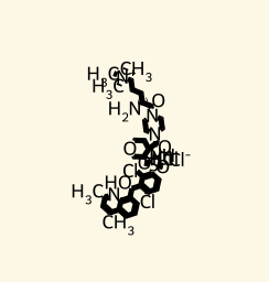 Cc1cc(C)c2cccc(C(O)c3c(Cl)ccc(S(=O)(=O)NC4(C(=O)N5CCN(C(=O)[C@@H](N)CCC[N+](C)(C)C)CC5)CCOCC4)c3Cl)c2n1.Cl.Cl.[Cl-]